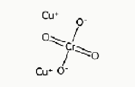 [Cu+].[Cu+].[O]=[Cr](=[O])([O-])[O-]